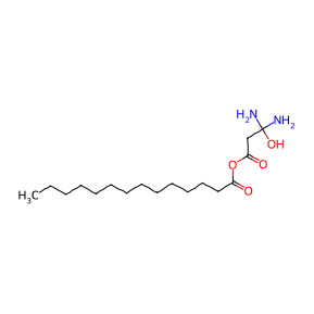 CCCCCCCCCCCCCC(=O)OC(=O)CC(N)(N)O